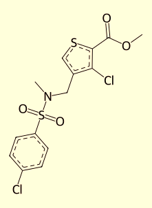 COC(=O)c1scc(CN(C)S(=O)(=O)c2ccc(Cl)cc2)c1Cl